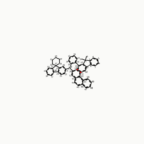 CC1(C)c2ccccc2-c2cccc(-c3ccccc3N(c3ccc4c(c3)C3(CCCCC3)c3ccccc3-4)c3ccc4c(ccc5ccccc54)c3)c21